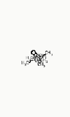 CCCC[Si](C)(C)N(C(=O)OC)c1nc2ccccc2n1[Si](C)(C)CCCC